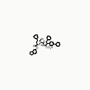 CC(C)CN(C[C@H](CCc1ccccc1)C(=O)Oc1ccc2c(c1)CCC2)C(=O)N[C@H](C(=O)O)C(Cc1ccccc1)c1ccc(-c2ccccc2)cc1